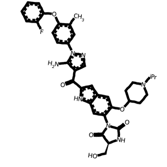 Cc1cc(-n2ncc(C(=O)c3cc4cc(OC5CCN(C(C)C)CC5)c(N5C(=O)N[C@@H](CO)C5=O)cc4[nH]3)c2N)ccc1Oc1ccccc1F